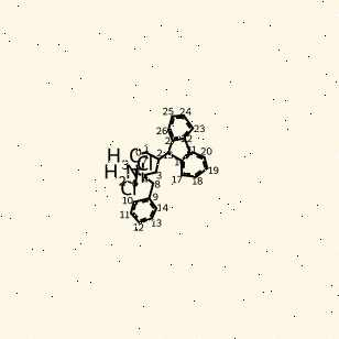 CCC([CH2][Ti]([NH2])([Cl])([Cl])[CH2]c1ccccc1)C1c2ccccc2-c2ccccc21